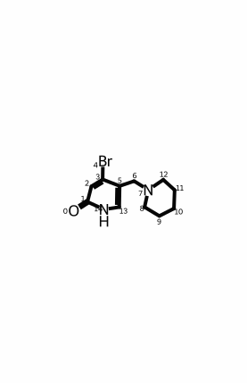 O=c1cc(Br)c(CN2CCCCC2)c[nH]1